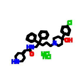 Cl.Cl.O=C(C=C1CCNCC1)NCC(CCCN1CCC(O)(c2ccc(Cl)cc2)CC1)(c1ccccc1)c1ccccc1